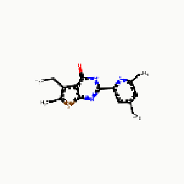 CCc1c(C)sc2nc(-c3cc(C)cc(C)n3)[nH]c(=O)c12